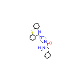 N[C@@H](Cc1ccccc1)C(=O)N1CCN(C2=Nc3ccccc3Sc3ccccc32)CC1